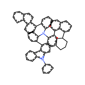 c1ccc(-n2c3ccccc3c3c(-c4ccccc4N(c4ccccc4-c4cccc5c4ccc4ccccc45)c4ccccc4-c4cccc5cccc(C6CCCCC6)c45)cccc32)cc1